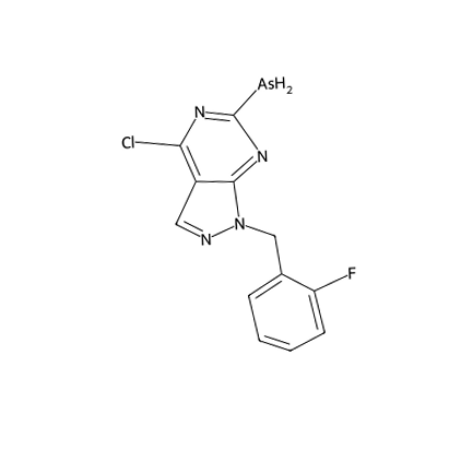 Fc1ccccc1Cn1ncc2c(Cl)nc([AsH2])nc21